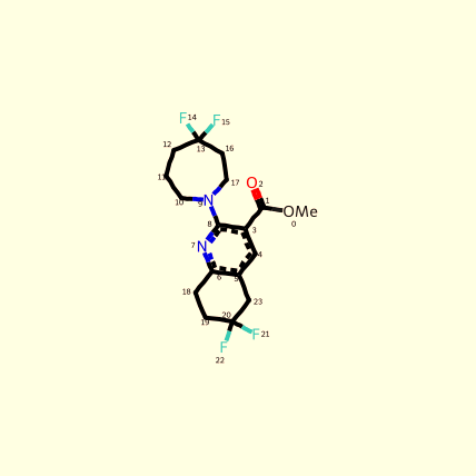 COC(=O)c1cc2c(nc1N1CCCC(F)(F)CC1)CCC(F)(F)C2